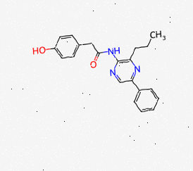 CCCc1nc(-c2ccccc2)cnc1NC(=O)Cc1ccc(O)cc1